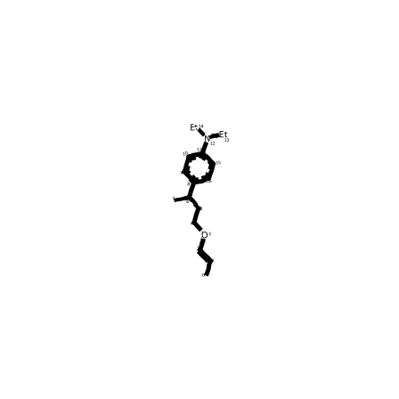 CC=COCCC(C)c1ccc(N(CC)CC)cc1